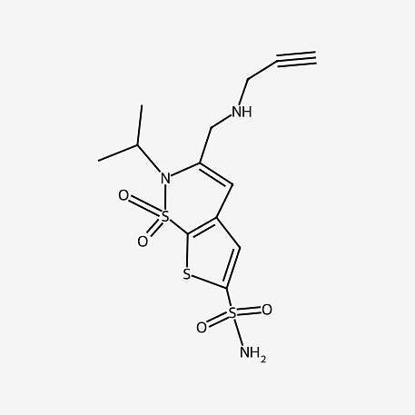 C#CCNCC1=Cc2cc(S(N)(=O)=O)sc2S(=O)(=O)N1C(C)C